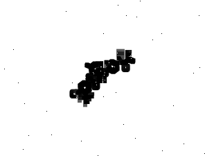 C=C(F)C(=O)Nc1ccc(Oc2ncc(C)cc2NS(=O)(=O)c2ccc(Cl)c(C(F)(F)F)c2)nc1